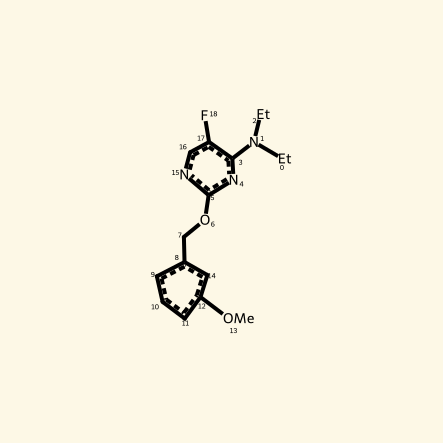 CCN(CC)c1nc(OCc2cccc(OC)c2)ncc1F